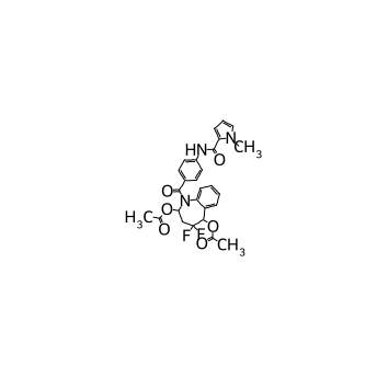 CC(=O)OC1CC(F)(F)C(OC(C)=O)c2ccccc2N1C(=O)c1ccc(NC(=O)c2cccn2C)cc1